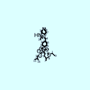 CCOC[C@H](CC(C)C)N(C(=O)OCC(C)C)S(=O)(=O)c1ccc(CN2c3ccncc3NC2C)cc1